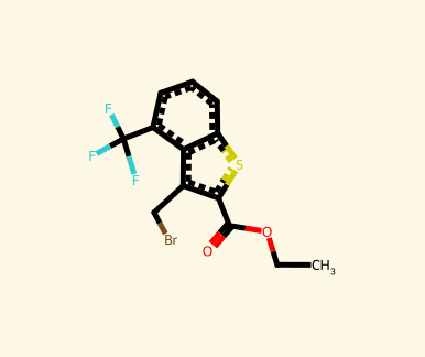 CCOC(=O)c1sc2cccc(C(F)(F)F)c2c1CBr